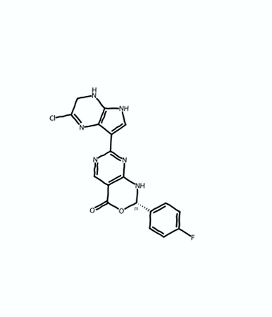 O=C1O[C@@H](c2ccc(F)cc2)Nc2nc(-c3c[nH]c4c3N=C(Cl)CN4)ncc21